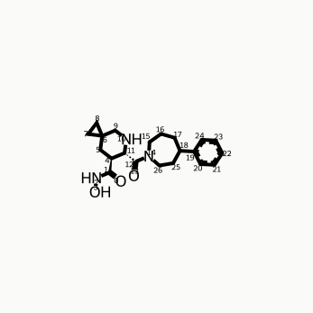 O=C(NO)[C@H]1CC2(CC2)CN[C@@H]1C(=O)N1CCCC(c2ccccc2)CC1